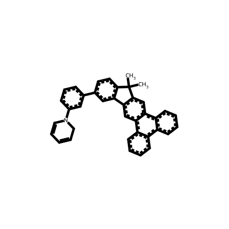 CC1(C)c2ccc(-c3cccc(N4C=CC=CC4)c3)cc2-c2cc3c4ccccc4c4ccccc4c3cc21